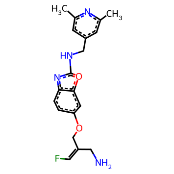 Cc1cc(CNc2nc3ccc(OC/C(=C\F)CN)cc3o2)cc(C)n1